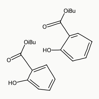 CC(C)COC(=O)c1ccccc1O.CC(C)COC(=O)c1ccccc1O